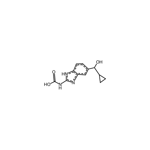 O=C(O)Nc1nc2cc(C(O)C3CC3)ccc2[nH]1